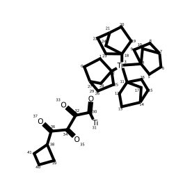 C1C[C]2([Ti]([C]34CCC(CC3)C4)([C]34CCC(CC3)C4)[C]34CCC(CC3)C4)CCC1C2.O=[C]([Ti])C(=O)C(=O)C(=O)C1CCC1